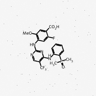 COc1cc(C(=O)O)c(F)cc1Nc1ncc(C(F)(F)F)c(Nc2ccccc2P(C)(C)=O)n1